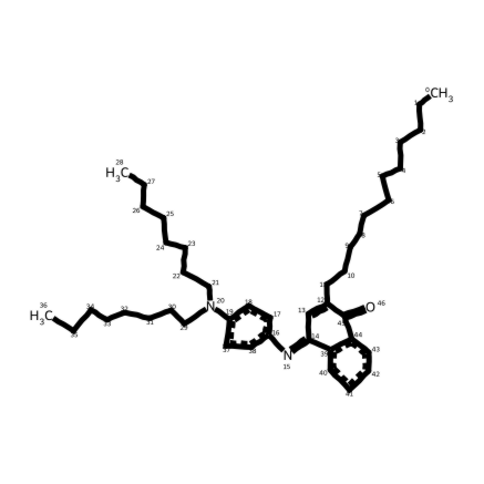 CCCCCCCCCCCCC1=CC(=Nc2ccc(N(CCCCCCCC)CCCCCCCC)cc2)c2ccccc2C1=O